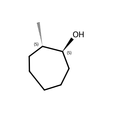 C[C@H]1CCCCC[C@@H]1O